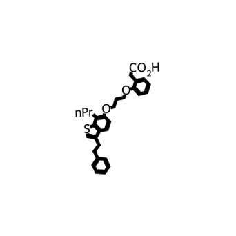 CCCc1c(OCCCOc2ccccc2CC(=O)O)ccc2c(CCc3ccccc3)csc12